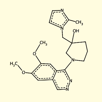 COc1cc2cnnc(N3CCCC(O)(Cn4ccnc4C)C3)c2cc1OC